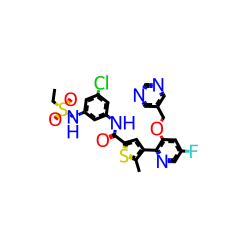 CCS(=O)(=O)Nc1cc(Cl)cc(NC(=O)c2cc(-c3ncc(F)cc3OCc3cncnc3)c(C)s2)c1